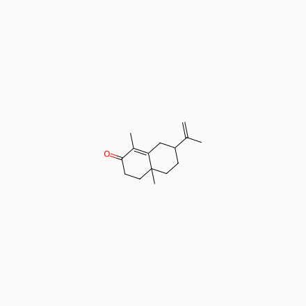 C=C(C)C1CCC2(C)CCC(=O)C(C)=C2C1